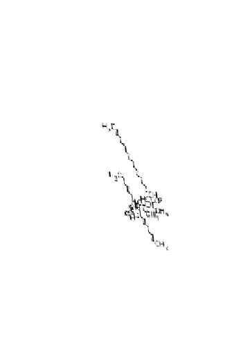 CCC(=O)O.CCC(=O)O.CCCCCCCCCCCCCCCCCC.CCCCCCCCCCCCCCCCCC.O=[SH](=O)O